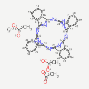 CC(=O)[O-].CC(=O)[O-].CC(=O)[O-].[Cr+3].c1ccc2c(c1)-c1nc-2nc2[nH]c(nc3nc(nc4[nH]c(n1)c1ccccc41)-c1ccccc1-3)c1ccccc21